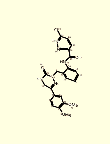 COc1ccc(C2=NN(Cc3ccccc3NC(=O)c3ccc(Cl)nn3)C(=O)SC2)cc1OC